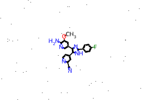 COc1cc(-c2nc(-c3ccc(F)cc3)[nH]c2-c2ccnc(C#N)c2)cnc1N